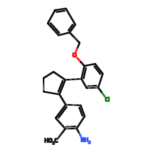 Nc1ccc(C2=C(c3cc(Cl)ccc3OCc3ccccc3)CCC2)cc1C(=O)O